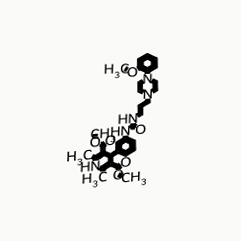 COC(=O)C1=C(C)NC(C)=C(C(=O)OC)C1c1cccc(NC(=O)NCCCN2CCN(c3ccccc3OC)CC2)c1